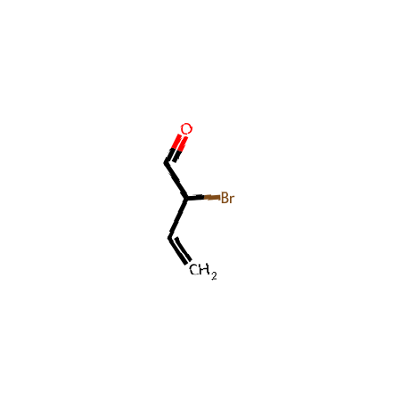 C=CC(Br)C=O